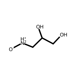 [O-][NH2+]CC(O)CO